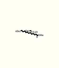 CCCCCCCCCCCC(=O)OCC.CCCCCCCCCCCCCCCCCCCCCC(=O)OC